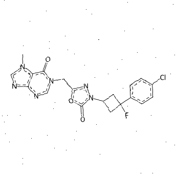 Cn1cnc2ncn(Cc3nn(C4CC(F)(c5ccc(Cl)cc5)C4)c(=O)o3)c(=O)c21